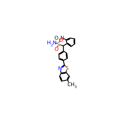 Cc1ccc2nc(-c3ccc(C(c4ccccc4[N+](=O)[O-])S(N)(=O)=O)cc3)sc2c1